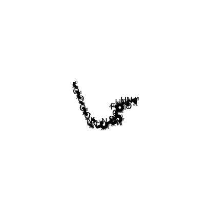 CCCOCCOCCOCCOCN1CCN(Cc2ccc(-c3cc4nccc(Oc5ccc(NC(=O)NC6CC6)cc5F)c4s3)nc2)CC1